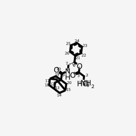 Cl.NCC(=O)O[C@H](CNC(=O)C12CC3CC(CC(C3)C1)C2)c1ccccc1